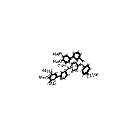 COc1ccc(N(Cc2cccc(-c3cc(OC)c(OC)c(OC)c3)c2)C2CCN(Cc3ccnc(-c4cc(OC)c(OC)c(OC)c4)c3)CC2)cc1